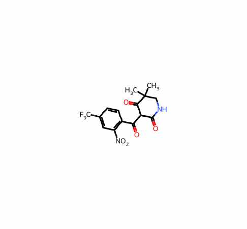 CC1(C)CNC(=O)C(C(=O)c2ccc(C(F)(F)F)cc2[N+](=O)[O-])C1=O